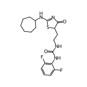 O=C(NCCC1SC(NC2CCCCCC2)=NC1=O)Nc1c(F)cccc1F